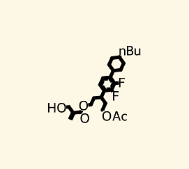 C=C(CO)C(=O)OCCC(CCOC(C)=O)c1ccc(C2CCC(CCCC)CC2)c(F)c1F